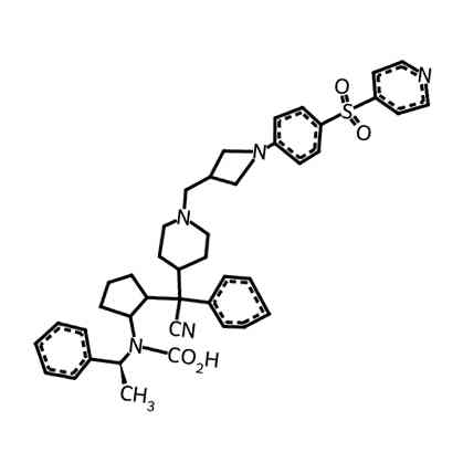 C[C@@H](c1ccccc1)N(C(=O)O)C1CCCC1C(C#N)(c1ccccc1)C1CCN(CC2CN(c3ccc(S(=O)(=O)c4ccncc4)cc3)C2)CC1